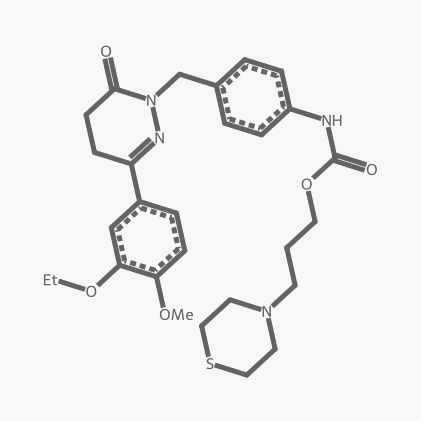 CCOc1cc(C2=NN(Cc3ccc(NC(=O)OCCCN4CCSCC4)cc3)C(=O)CC2)ccc1OC